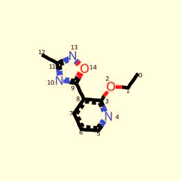 CCOc1ncccc1-c1nc(C)no1